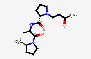 COC(=O)CCN1CCC[C@H]1C(=O)N[C@H](C)C(=O)N1CCC[C@H]1C(=O)O